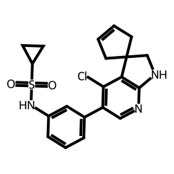 O=S(=O)(Nc1cccc(-c2cnc3c(c2Cl)C2(CC=CC2)CN3)c1)C1CC1